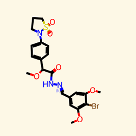 COc1cc(/C=N/NC(=O)C(OC)c2ccc(N3CCCS3(=O)=O)cc2)cc(OC)c1Br